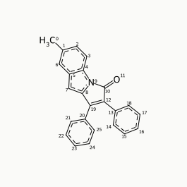 Cc1ccc2c(c1)cc1n2C(=O)C(c2ccccc2)=C1c1ccccc1